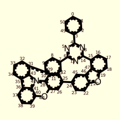 c1ccc(-c2nc(-c3ccccc3)nc(-c3cccc4oc5ccc(-c6cc7c8c(c6)c6cccc9c%10cccc(c%10n8c96)O7)cc5c34)n2)cc1